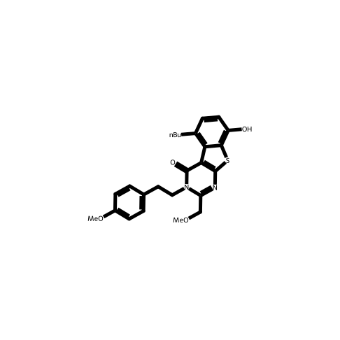 CCCCc1ccc(O)c2sc3nc(COC)n(CCc4ccc(OC)cc4)c(=O)c3c12